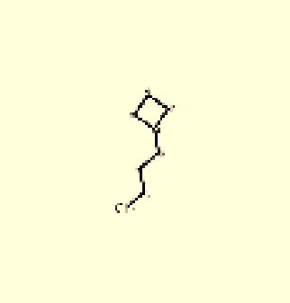 ClCCCC1C[CH]C1